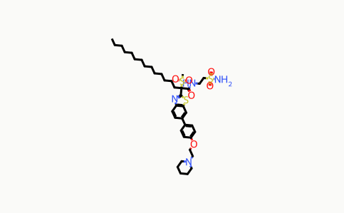 CCCCCCCCCCCCCCC(C(=O)NCCS(N)(=O)=O)(c1nc2ccc(-c3ccc(OCCN4CCCCC4)cc3)cc2s1)S(C)(=O)=O